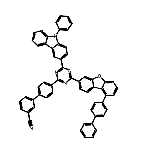 N#Cc1cccc(-c2ccc(-c3nc(-c4ccc5c(c4)oc4cccc(-c6ccc(-c7ccccc7)cc6)c45)nc(-c4ccc5c(c4)c4ccccc4n5-c4ccccc4)n3)cc2)c1